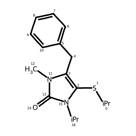 CC(C)Sc1c(Cc2ccccc2)n(C)c(=O)n1C(C)C